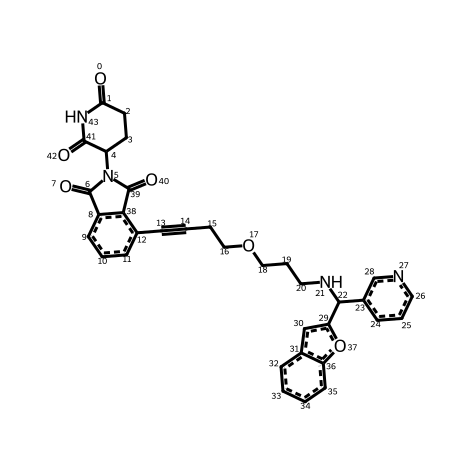 O=C1CCC(N2C(=O)c3cccc(C#CCCOCCCNC(c4cccnc4)c4cc5ccccc5o4)c3C2=O)C(=O)N1